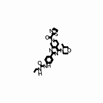 CCNC(=O)Nc1ccc(-c2nc3c(c(N4CCOCC4C)n2)CCN(C(=O)c2nccs2)C3)cc1